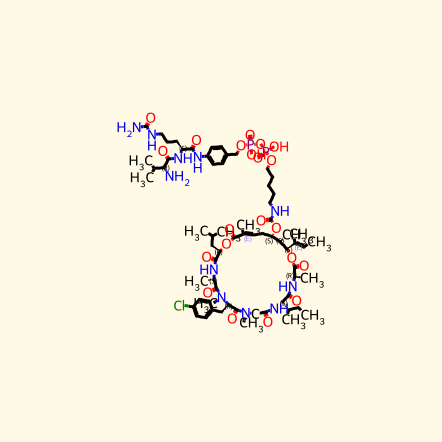 C/C=C(\C)[C@H]1OC(=O)[C@@H](C)NC(=O)[C@H](C(C)CC)NC(=O)CN(C)C(=O)[C@@H](Cc2ccc(Cl)cc2)N(C)C(=O)[C@H](C)NC(=O)[C@@H](CC(C)C)OC(=O)/C(C)=C/C[C@H](OC(=O)NCCCCCOP(=O)(O)OP(=O)(O)OCc2ccc(NC(=O)[C@H](CCCNC(N)=O)NC(=O)[C@H](N)C(C)C)cc2)[C@@H]1C